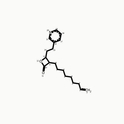 C=CCCCCCCCC1C(=O)OC1CCc1cccnc1